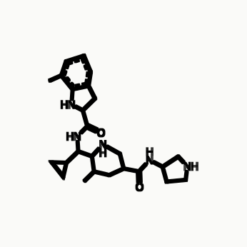 Cc1cccc2c1NC(C(=O)NC(C1CC1)C1NCC(C(=O)NC3CCNC3)CC1C)C2